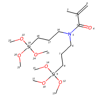 C=C(C)C(=O)N(CCC[Si](OC)(OC)OC)CCC[Si](OC)(OC)OC